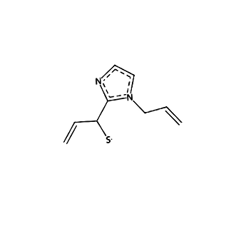 C=CCn1ccnc1C([S])C=C